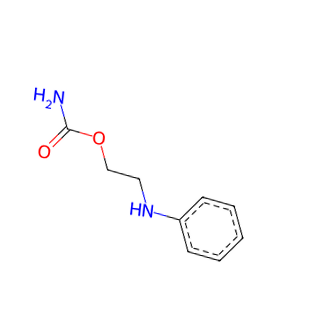 NC(=O)OCCNc1ccccc1